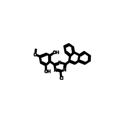 COc1cc(O)c(-c2nc(Cl)nc(-c3cc4ccccc4c4ccccc34)n2)c(O)c1